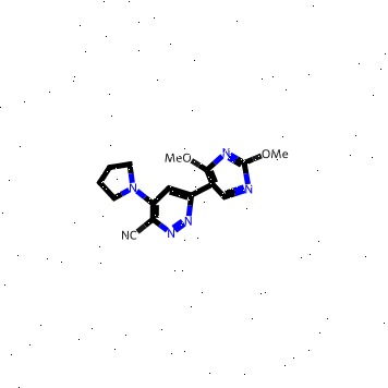 COc1ncc(-c2cc(N3CCCC3)c(C#N)nn2)c(OC)n1